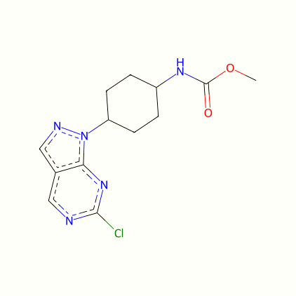 COC(=O)NC1CCC(n2ncc3cnc(Cl)nc32)CC1